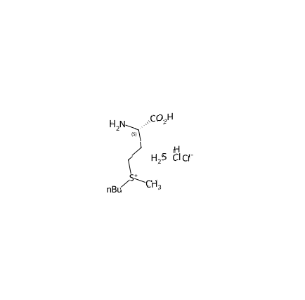 CCCC[S+](C)CC[C@H](N)C(=O)O.Cl.S.[Cl-]